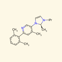 Cc1cc(-c2c(C)cccc2C)ncc1N1C=CN(C(C)C)[C@H]1C